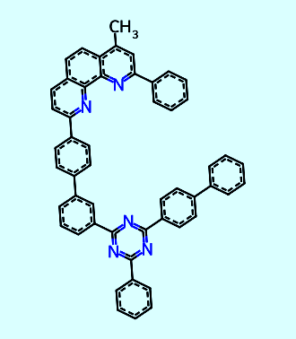 Cc1cc(-c2ccccc2)nc2c1ccc1ccc(-c3ccc(-c4cccc(-c5nc(-c6ccccc6)nc(-c6ccc(-c7ccccc7)cc6)n5)c4)cc3)nc12